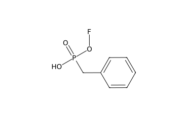 O=P(O)(Cc1ccccc1)OF